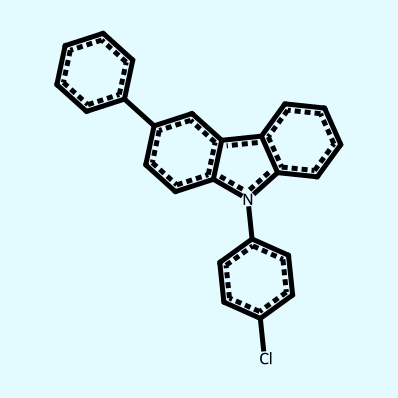 Clc1ccc(-n2c3ccccc3c3cc(-c4ccccc4)ccc32)cc1